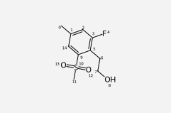 Cc1cc(F)c(CCO)c(S(C)(=O)=O)c1